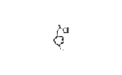 [CH2]c1ccc(CC(=C)Cl)cc1